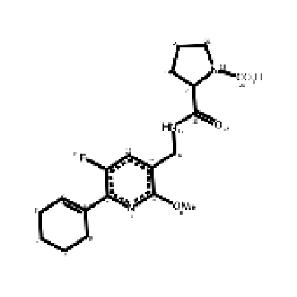 COc1nc(C2=CCCCC2)c(F)cc1CNC(=O)C1CCCN1C(=O)O